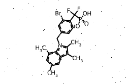 Cc1cc(C)c2c(c1)c(C)c(C)n2Cc1ccc(C(F)(F)P(=O)(O)O)c(Br)c1